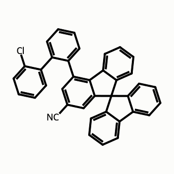 N#Cc1cc(-c2ccccc2-c2ccccc2Cl)c2c(c1)C1(c3ccccc3-c3ccccc31)c1ccccc1-2